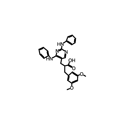 COc1cc(CC(Cc2cnc(Nc3ccccc3)nc2Nc2ccccc2)C(=O)O)cc(OC)c1